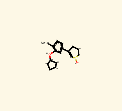 COc1ccc(C2=C[S+]([O-])CCC2)cc1OC1CCCC1